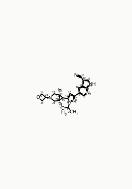 CC(C)n1nc(-c2cnc3[nH]cc(C#N)c3c2)cc1C1[C@H]2CN(C3COC3)C[C@@H]12